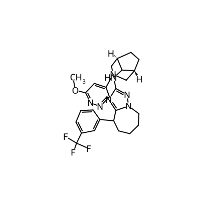 COc1cc(N2C[C@H]3CC[C@H](C2)C3Nc2nc3n(n2)CCCCC3c2cccc(C(F)(F)F)c2)cnn1